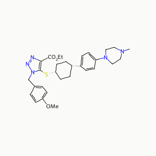 CCOC(=O)c1nnn(Cc2ccc(OC)cc2)c1S[C@H]1CC[C@@H](c2ccc(N3CCN(C)CC3)cc2)CC1